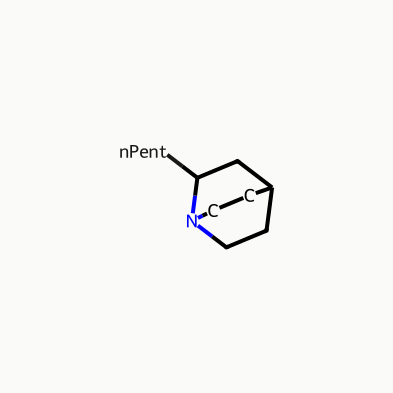 [CH2]CCCCC1CC2CCN1CC2